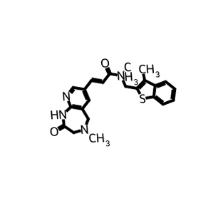 Cc1c(CN(C)C(=O)C=Cc2cnc3c(c2)CN(C)CC(=O)N3)sc2ccccc12